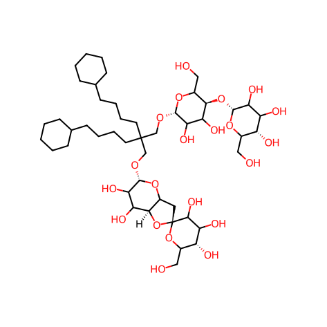 OCC1O[C@H](O[C@@H]2C(CO)O[C@@H](OCC(CCCCC3CCCCC3)(CCCCC3CCCCC3)CO[C@@H]3OC4C[C@@]5(OC(CO)[C@@H](O)C(O)C5O)O[C@H]4C(O)C3O)C(O)C2O)C(O)C(O)[C@@H]1O